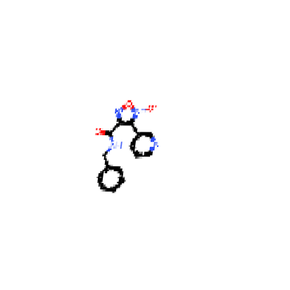 O=C(NCc1ccccc1)c1no[n+]([O-])c1-c1cccnc1